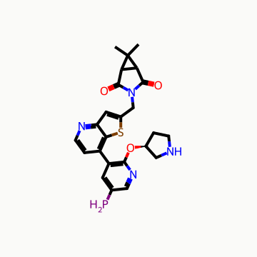 CC1(C)C2C(=O)N(Cc3cc4nccc(-c5cc(P)cnc5O[C@H]5CCNC5)c4s3)C(=O)C21